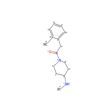 CC(C)NC1CCN(C(=O)Cc2ccccc2C#N)CC1